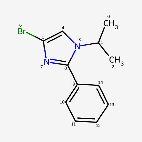 CC(C)n1cc(Br)nc1-c1ccccc1